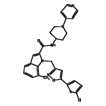 Cc1cccc2cc(C(=O)NC3CCN(c4ccncc4)CC3)n(Cc3cc(-c4ccc(Cl)s4)on3)c12